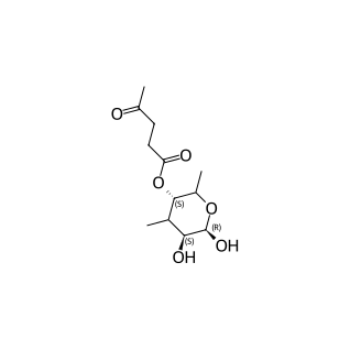 CC(=O)CCC(=O)O[C@@H]1C(C)O[C@@H](O)[C@@H](O)C1C